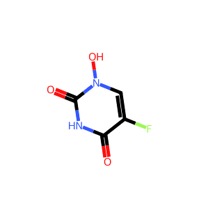 O=c1[nH]c(=O)n(O)cc1F